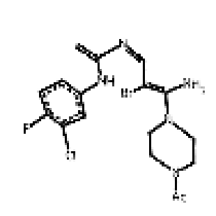 C=C(/N=C\C(Br)=C(/N)N1CCN(C(C)=O)CC1)Nc1ccc(F)c(Cl)c1